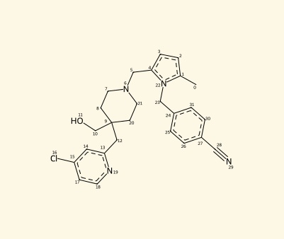 Cc1ccc(CN2CCC(CO)(Cc3cc(Cl)ccn3)CC2)n1Cc1ccc(C#N)cc1